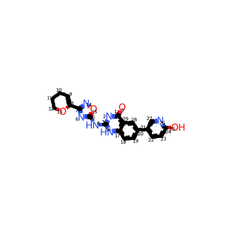 O=c1nc(Nc2nc(C3=CCCCO3)no2)[nH]c2ccc(-c3ccc(O)nc3)cc12